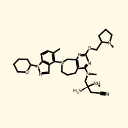 CN[C@]([SiH3])(CC#N)CN(C)c1nc(OCC2CCCN2C)nc2c1CCCN(c1c(C)ccc3c1cnn3C1CCCCO1)C2